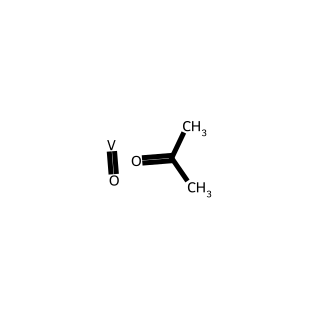 CC(C)=O.[O]=[V]